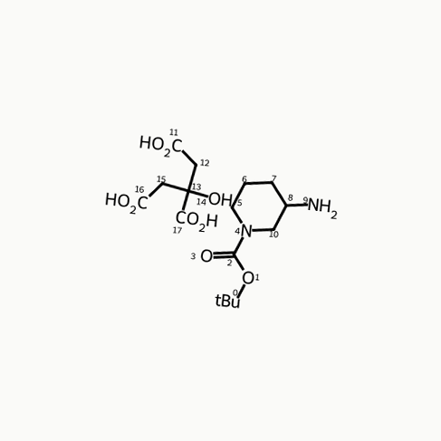 CC(C)(C)OC(=O)N1CCCC(N)C1.O=C(O)CC(O)(CC(=O)O)C(=O)O